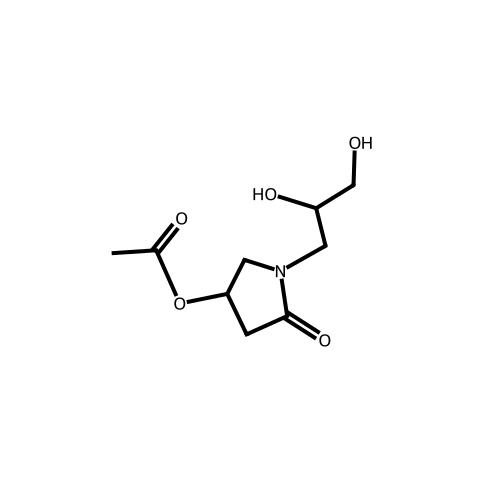 CC(=O)OC1CC(=O)N(CC(O)CO)C1